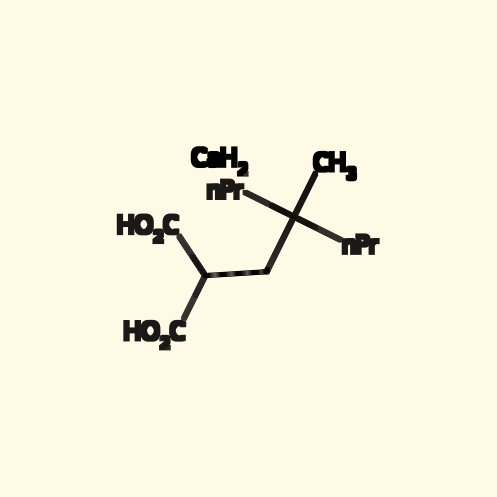 CCCC(C)(CCC)CC(C(=O)O)C(=O)O.[CaH2]